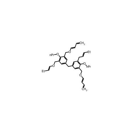 C=CC=COCc1cc(Cc2cc(COC=CC=C)c(OCCC)c(COC=CCC)c2)cc(CC=CCC)c1OCCC